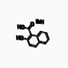 Br.O=C(O)c1c(O)ccc2ccccc12